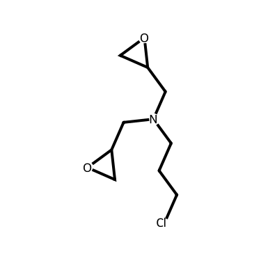 ClCCCN(CC1CO1)CC1CO1